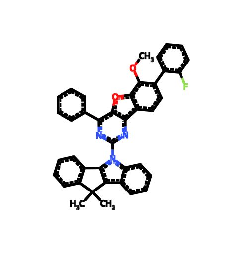 COc1c(-c2ccccc2F)ccc2c1oc1c(-c3ccccc3)nc(-n3c4c(c5ccccc53)C(C)(C)c3ccccc3-4)nc12